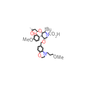 COCCCN1CCOc2ccc(CO[C@H]3CN(C(=O)O)C(C(C)(C)C)[C@@H](OCC[C@@H](C)O)[C@H]3c3ccc(OC)cc3)cc21